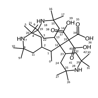 CC(C1CC(C)(C)NC(C)(C)C1)C(C1CC(C)(C)NC(C)(C)C1)(C1CC(C)(C)NC(C)(C)C1)C(C(=O)O)(C(=O)O)C(=O)O